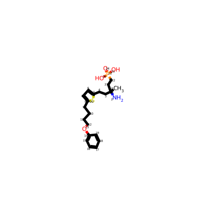 CC(N)(CCc1ccc(CCCCOc2ccccc2)s1)CCP(=O)(O)O